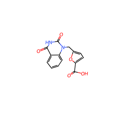 O=C(O)c1ccc(Cn2c(=O)[nH]c(=O)c3ccccc32)o1